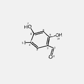 O=Cc1cc(I)c(O)cc1O